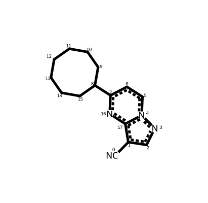 N#Cc1cnn2ccc(C3CCCCCCC3)nc12